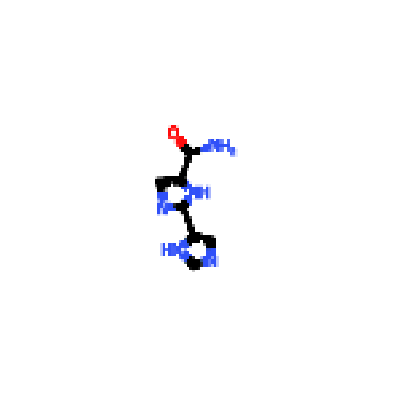 NC(=O)c1cnc(-c2cnc[nH]2)[nH]1